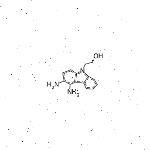 Nc1ccc2c(c1N)c1ccccc1n2CCO